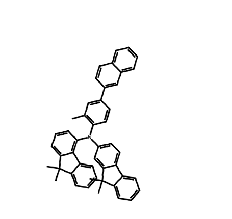 Cc1cc(-c2ccc3ccccc3c2)ccc1N(c1ccc2c(c1)C(C)(C)c1ccccc1-2)c1cccc2c1-c1ccccc1C2(C)C